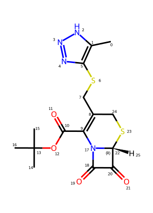 Cc1[nH]nnc1SCC1=C(C(=O)OC(C)(C)C)N2C(=O)C(=O)[C@H]2SC1